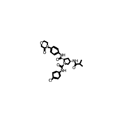 CC(C)C(=O)N[C@H]1C[C@H](C(=O)Nc2ccc(N3CCOCC3=O)cc2)N(C(=O)Nc2ccc(Cl)cc2)C1